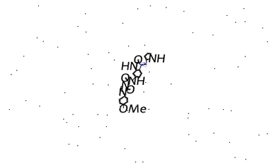 COc1ccc(N2CCN(C(=O)Nc3ccc4c(c3)NC(=O)/C4=C\c3ccc[nH]3)C2=O)cc1